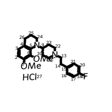 COc1ccc2c(c1OC)N(C1CCN(CCc3ccc(F)cc3)CC1)CCC2.Cl